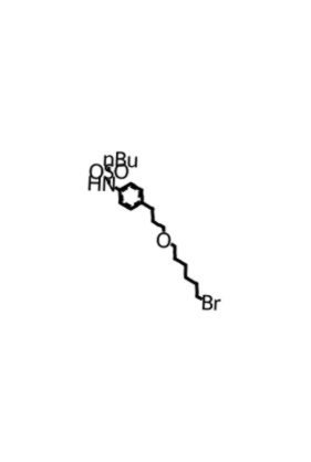 CCCCS(=O)(=O)Nc1ccc(CCCOCCCCCCBr)cc1